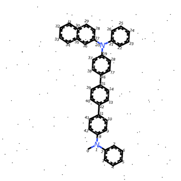 CN(c1ccccc1)c1ccc(-c2ccc(-c3ccc(N(c4ccccc4)c4ccc5ccccc5c4)cc3)cc2)cc1